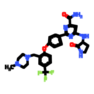 CN1CCN(Cc2cc(C(F)(F)F)ccc2Oc2ccc(-c3nc(NC4CCNC4=O)cc(C(N)=O)n3)cc2)CC1